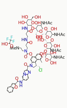 CNCCN(CCC(=O)NCCC(=O)N[C@H]1[C@H](OC2[C@@H](CO)O[C@@H](OC3[C@@H](CO)O[C@@H](OC4[C@@H](CO)O[C@@H](OC5[C@@H](CO)OC(O)[C@H](NC(C)=O)[C@H]5O)[C@H](NC(C)=O)[C@H]4O)[C@H](NC(C)=O)[C@H]3O)[C@H](NC(C)=O)[C@H]2O)O[C@H](CO)[C@@H](O)[C@@H]1O)C(=O)Oc1cc2c(c3c(C)cccc13)[C@H](CCl)CN2C(=O)c1cn2cc(NC(=O)c3cc4ccccc4o3)ccc2n1.O=C(O)C(F)(F)F